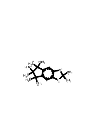 BC1(B)Oc2cc3c(cc2O1)C(B)(B)C(B)(N)C3(B)B